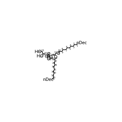 CCCCCCCCCCCCCCCCCCCCOCC(COP(=O)(O)OCC(O)CO)OCCCCCCCCCCCCCCCCCCCC